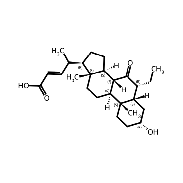 CC[C@H]1C(=O)[C@@H]2[C@H](CC[C@]3(C)[C@@H](C(C)C=CC(=O)O)CC[C@@H]23)[C@@]2(C)CC[C@@H](O)C[C@@H]12